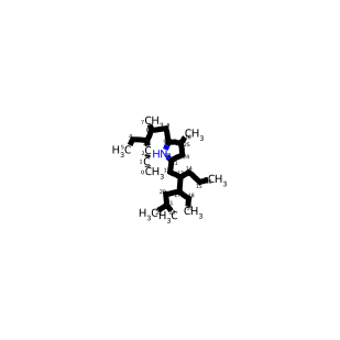 CCCC(CC)C(C)CC1NC(CC(CCC)C(CC)CC(C)C)CC1C